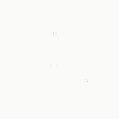 [CH2]C(CF)c1cccc(C#N)c1C